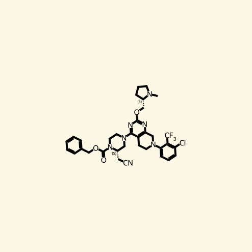 CN1CCC[C@H]1COc1nc2c(c(N3CCN(C(=O)OCc4ccccc4)[C@@H](CC#N)C3)n1)CCN(c1cccc(Cl)c1C(F)(F)F)C2